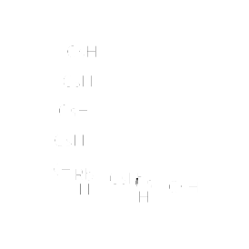 [CsH].[CsH].[CsH].[CsH].[CsH].[CsH].[CsH].[KH].[RbH]